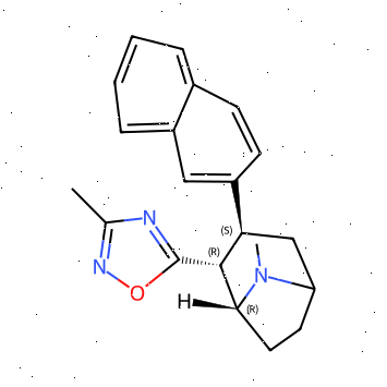 Cc1noc([C@@H]2[C@@H](c3ccc4ccccc4c3)CC3CC[C@H]2N3C)n1